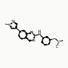 Cn1cc(-c2ccc3cnc(Nc4cccc(C[S+](C)[O-])c4)nc3c2)cn1